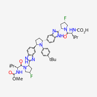 COC(=O)N[C@H](C(=O)N1CC(F)CC1c1nc2cc([C@H]3CC[C@H](c4ccc5[nH]c([C@@H]6C[C@H](F)CN6C(=O)[C@@H](NC(=O)O)C(C)C)nc5c4)N3c3ccc(C(C)(C)C)cc3)ccc2[nH]1)C(C)C